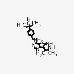 CCC(O)(CC)c1ccc(CNc2ncnc3c2SC(=N)/C3=C(/C)C(C)=N)cc1